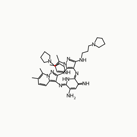 Cc1ccc2c(/N=C3\N/C(=N\c4c(NCCCN5CCCC5)nn5c(C)c(C)ccc45)C(N)=CC3=N)c(NCCCN3CCCC3)nn2c1C